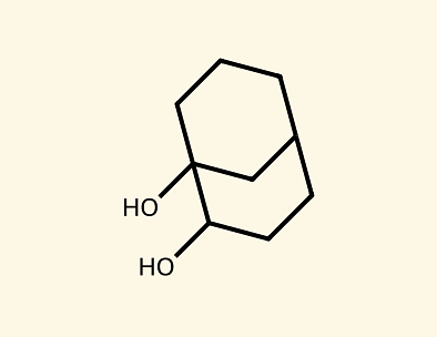 OC1CCC2CCCC1(O)C2